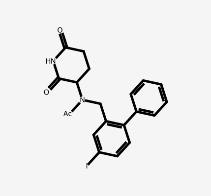 CC(=O)N(Cc1cc(I)ccc1-c1ccccc1)C1CCC(=O)NC1=O